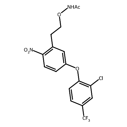 CC(=O)NOCCc1cc(Oc2ccc(C(F)(F)F)cc2Cl)ccc1[N+](=O)[O-]